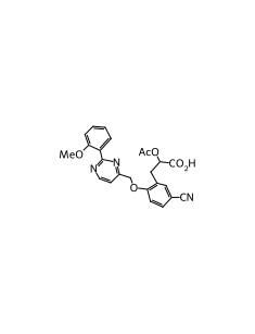 COc1ccccc1-c1nccc(COc2ccc(C#N)cc2CC(OC(C)=O)C(=O)O)n1